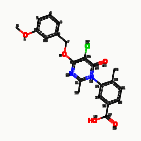 COc1cccc(COc2nc(C)n(-c3cc(C(=O)O)ccc3C)c(=O)c2Cl)c1